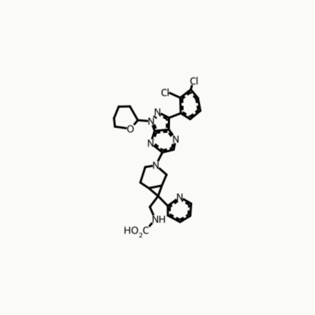 O=C(O)NCC1(c2ccccn2)C2CCN(c3cnc4c(-c5cccc(Cl)c5Cl)nn(C5CCCCO5)c4n3)CC21